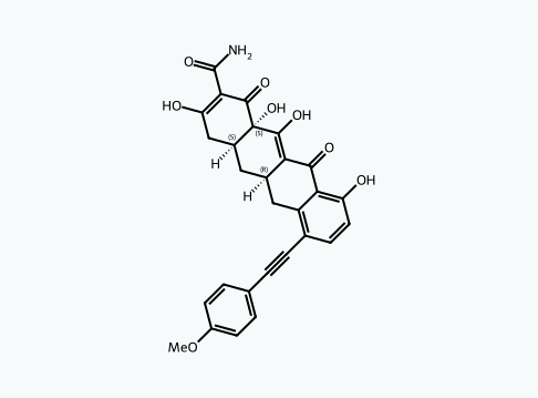 COc1ccc(C#Cc2ccc(O)c3c2C[C@H]2C[C@H]4CC(O)=C(C(N)=O)C(=O)[C@@]4(O)C(O)=C2C3=O)cc1